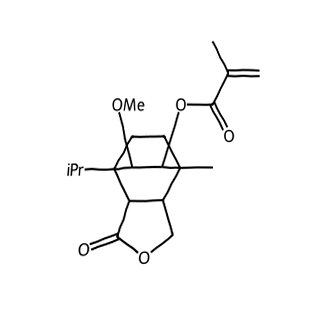 C=C(C)C(=O)OC1C(OC)C2(C(C)C)CCC1(C)C1COC(=O)C12